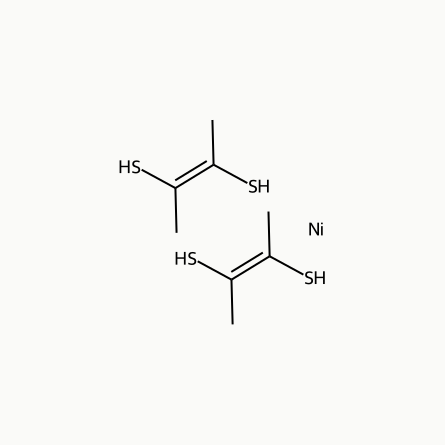 CC(S)=C(C)S.CC(S)=C(C)S.[Ni]